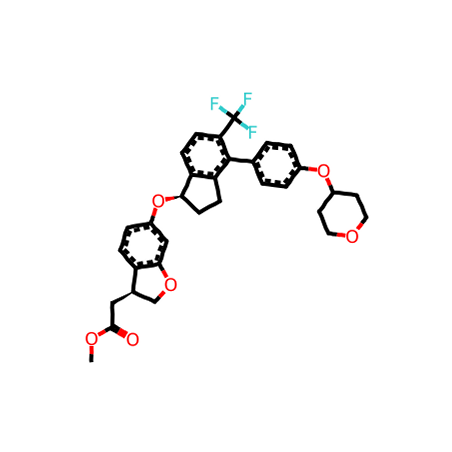 COC(=O)C[C@@H]1COc2cc(O[C@@H]3CCc4c3ccc(C(F)(F)F)c4-c3ccc(OC4CCOCC4)cc3)ccc21